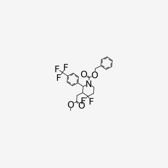 COC(=O)CC1C(c2ccc(C(F)(F)F)cc2)N(C(=O)OCc2ccccc2)CCC1(F)F